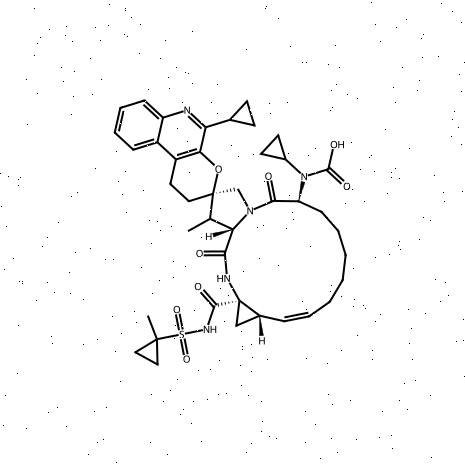 CC1[C@H]2C(=O)N[C@]3(C(=O)NS(=O)(=O)C4(C)CC4)C[C@H]3/C=C\CCCCC[C@H](N(C(=O)O)C3CC3)C(=O)N2C[C@@]12CCc1c(c(C3CC3)nc3ccccc13)O2